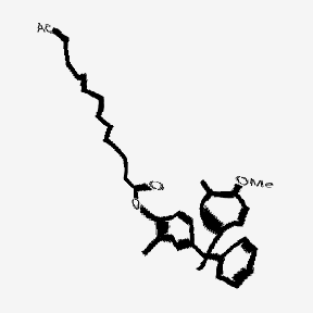 COc1ccc(C(C)(c2ccccc2)c2ccc(OC(=O)CCCCCCCCCCC(C)=O)c(C)c2)cc1C